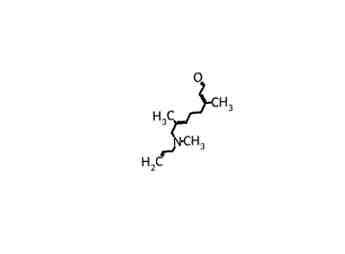 C=CCN(C)CC(C)=CCCC(C)=CC=O